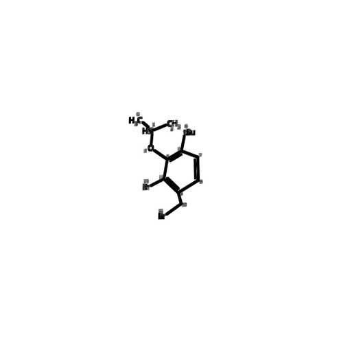 C[SiH](C)Oc1c(C(C)(C)C)ccc(CBr)c1Br